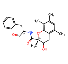 Cc1cc(C)c2c(c1C)O[C@@](C)(C(=O)N[C@H](C=O)Cc1ccccc1)C(O)C2